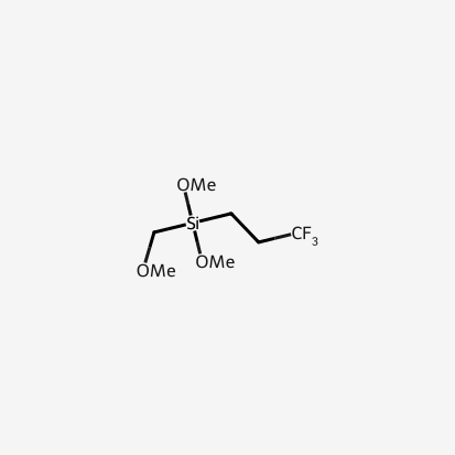 COC[Si](CCC(F)(F)F)(OC)OC